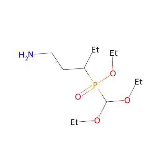 CCOC(OCC)P(=O)(OCC)C(CC)CCN